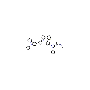 C=C/C=C\C=C(/C)c1cc(-c2ccccc2)nc(-c2ccc(-n3c4ccccc4c4cc(-c5ccc6c(c5)c5ccccc5n6-c5ccccc5)ccc43)c3c2sc2ccccc23)n1